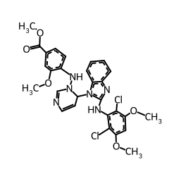 COC(=O)c1ccc(NN2C=NC=CC2n2c(Nc3c(Cl)c(OC)cc(OC)c3Cl)nc3ccccc32)c(OC)c1